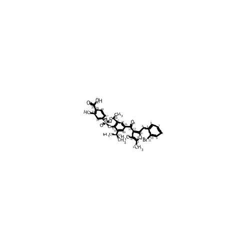 Cc1oc(Cc2ccccc2Br)c(C(=O)c2cc(C(C)C)c(OS(=O)(=O)c3ccc(C(=O)O)c(O)c3)c(C(C)C)c2)c1C